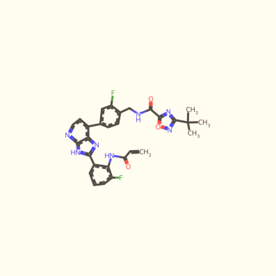 C=CC(=O)Nc1c(F)cccc1-c1nc2c(-c3ccc(CNC(=O)c4nc(C(C)(C)C)no4)c(F)c3)ccnc2[nH]1